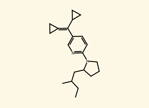 CCC(C)CC1CCCN1c1ccc(C(=C2CC2)C2CC2)cn1